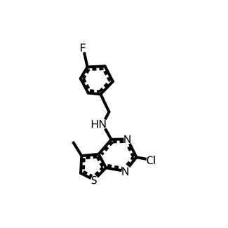 Cc1csc2nc(Cl)nc(NCc3ccc(F)cc3)c12